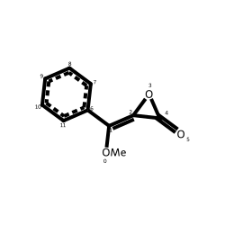 COC(=C1OC1=O)c1ccccc1